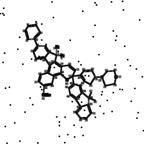 CCC1(CC)c2cc(-c3ccccc3)ccc2-c2c1c1c(c3cc(OC)ccc23)OC(C2=CCC(N3CCOCC3)C=C2)(c2ccc3c(c2)C(C)(C)c2ccccc2-3)C=C1